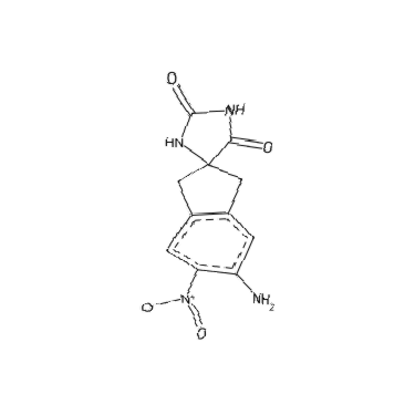 Nc1cc2c(cc1[N+](=O)[O-])CC1(C2)NC(=O)NC1=O